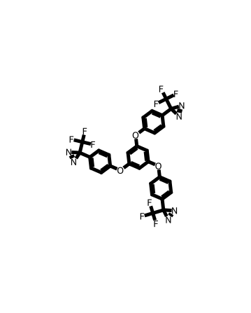 FC(F)(F)C1(c2ccc(Oc3cc(Oc4ccc(C5(C(F)(F)F)N=N5)cc4)cc(Oc4ccc(C5(C(F)(F)F)N=N5)cc4)c3)cc2)N=N1